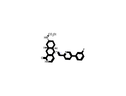 CCOC(=O)N[C@@H]1CC[C@@H]2[C@H](Cc3c(cc[nH]c3=O)[C@H]2/C=C/c2ccc(-c3cccc(F)c3)cn2)C1